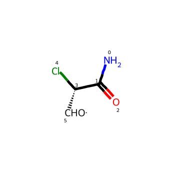 NC(=O)[C@@H](Cl)[C]=O